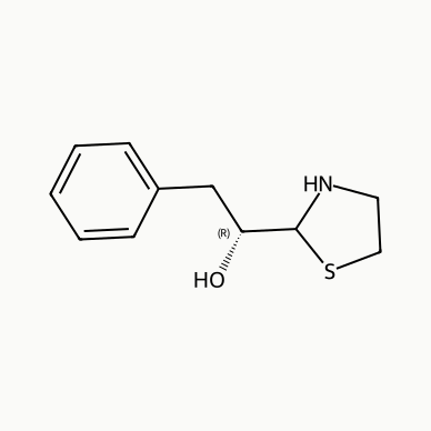 O[C@H](Cc1ccccc1)C1NCCS1